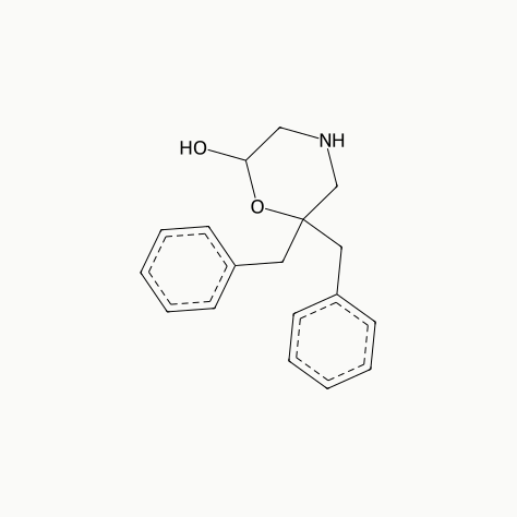 OC1CNCC(Cc2ccccc2)(Cc2ccccc2)O1